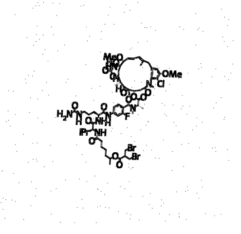 COc1cc2cc(c1Cl)N(C)C(=O)C[C@H](OC(=O)[C@H](C)N(C)C(=O)c1ccc(NC(=O)[C@H](CCCNC(N)=O)NC(=O)[C@@H](NC(=O)CCCCC(C)OC(=O)C(CBr)CBr)C(C)C)cc1F)[C@]1(C)O[C@H]1[C@H](C)[C@@H]1C[C@@](O)(NC(=O)O1)[C@H](OC)/C=C/C=C(\C)C2